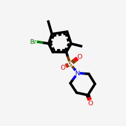 Cc1cc(C)c(S(=O)(=O)N2CCC(=O)CC2)cc1Br